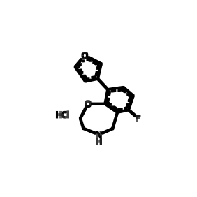 Cl.Fc1ccc(-c2ccoc2)c2c1CNCCO2